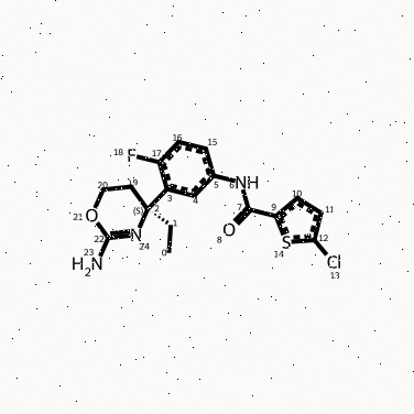 CC[C@@]1(c2cc(NC(=O)c3ccc(Cl)s3)ccc2F)CCOC(N)=N1